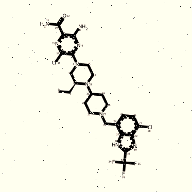 CC[C@H]1CN(c2nc(N)c(C(N)=O)nc2Cl)CCN1C1CCN(Cc2ccc(Cl)c3nc(C(F)(F)F)[nH]c23)CC1